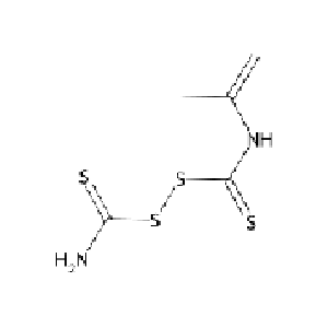 C=C(C)NC(=S)SSC(N)=S